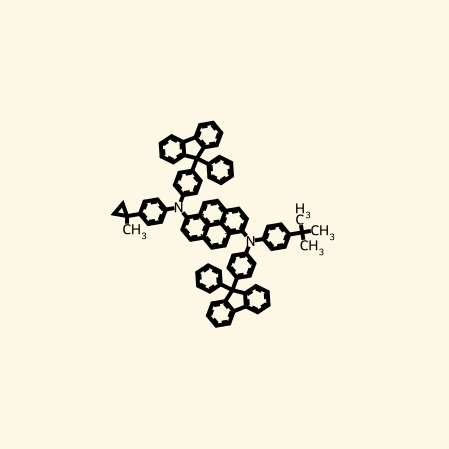 CC(C)(C)c1ccc(N(c2ccc(C3(c4ccccc4)c4ccccc4-c4ccccc43)cc2)c2ccc3ccc4c(N(c5ccc(C6(C)CC6)cc5)c5ccc(C6(c7ccccc7)c7ccccc7-c7ccccc76)cc5)ccc5ccc2c3c54)cc1